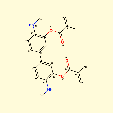 C=C(C)C(=O)Oc1cc(-c2ccc(NC)c(OC(=O)C(=C)C)c2)ccc1NC